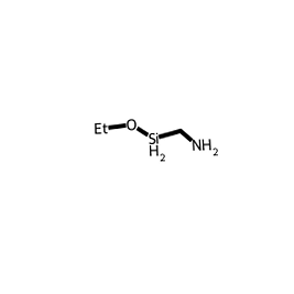 CCO[SiH2]CN